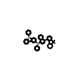 CC1(C)C2=C(CCCC2)c2c(-c3ccc(N(c4ccccc4)c4ccc5c(c4)c4ccccc4n5-c4ccccc4)c4ccccc34)cccc21